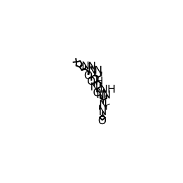 C[C@H]1CN(C2COC2)CCN1c1cnc(Nc2cc(-c3ccnc(-n4ncn5c6c(cc5c4=O)CC(C)(C)C6)c3CO)cn(C)c2=O)nc1